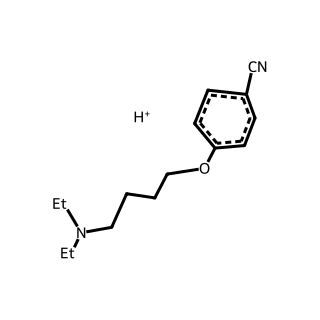 CCN(CC)CCCCOc1ccc(C#N)cc1.[H+]